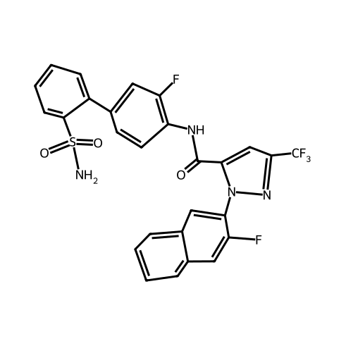 NS(=O)(=O)c1ccccc1-c1ccc(NC(=O)c2cc(C(F)(F)F)nn2-c2cc3ccccc3cc2F)c(F)c1